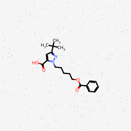 CC(C)(C)c1cc(C(=O)O)n(CCCCCOC(=O)c2ccccc2)n1